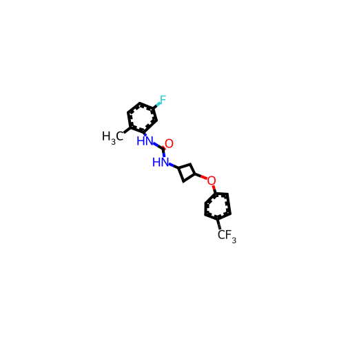 Cc1ccc(F)cc1NC(=O)NC1CC(Oc2ccc(C(F)(F)F)cc2)C1